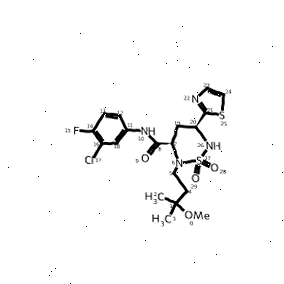 COC(C)(C)CCN1[C@@H](C(=O)Nc2ccc(F)c(Cl)c2)C[C@@H](c2nccs2)NS1(=O)=O